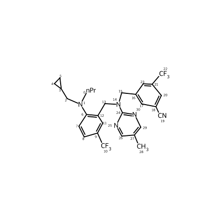 CCCN(CC1CC1)c1ccc(C(F)(F)F)cc1CN(Cc1cc(C#N)cc(C(F)(F)F)c1)c1ncc(C)cn1